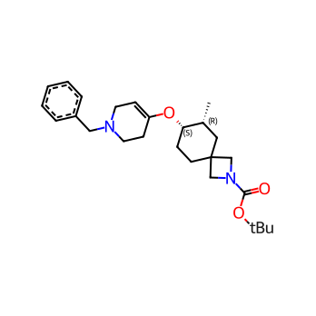 C[C@@H]1CC2(CC[C@@H]1OC1=CCN(Cc3ccccc3)CC1)CN(C(=O)OC(C)(C)C)C2